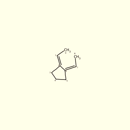 C/C=C1/CCC/C1=C/C